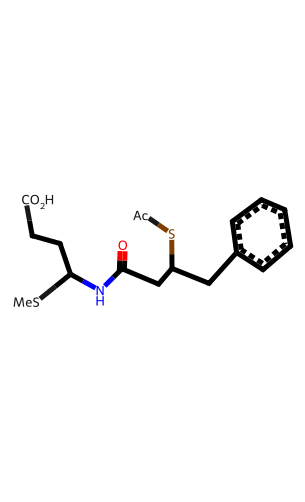 CSC(CCC(=O)O)NC(=O)CC(Cc1ccccc1)SC(C)=O